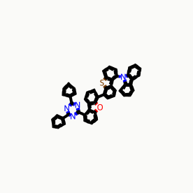 c1ccc(-c2nc(-c3ccccc3)nc(-c3cccc4oc5c(-c6cccc7c6sc6cccc(-n8c9ccccc9c9ccccc98)c67)cccc5c34)n2)cc1